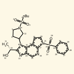 CCCCS(=O)(=O)N1CCC(n2c([C@@H](C)O)nc3cnc4c(ccn4S(=O)(=O)c4ccccc4)c32)C1